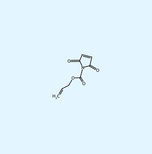 C=CCOC(=O)N1C(=O)C=CC1=O